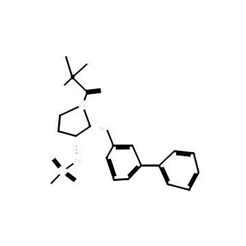 CC(F)(F)C(=O)N1CC[C@@H](NS(C)(=O)=O)[C@H]1Cc1cccc(-c2ccccc2)c1